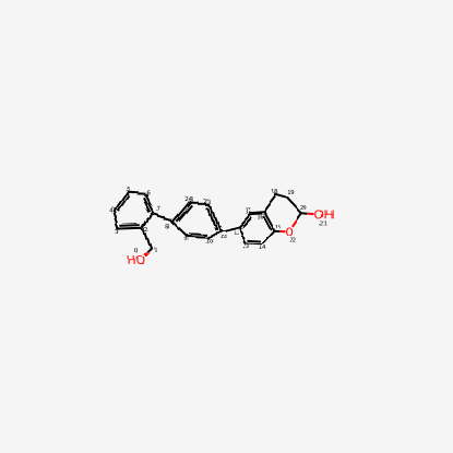 OCc1ccccc1-c1ccc(-c2ccc3c(c2)CCC(O)O3)cc1